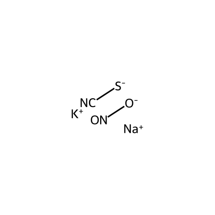 N#C[S-].O=N[O-].[K+].[Na+]